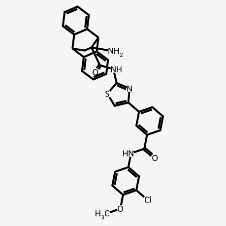 COc1ccc(NC(=O)c2cccc(-c3csc(NC(=O)C4(N)CC5c6ccccc6C4c4ccccc45)n3)c2)cc1Cl